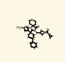 Cn1cc(C2(C3=NC4(CCOCC4)C(=O)N3CC3CN(C(=O)C4CC4)C3)C=CC(c3ccccc3)=CC2)cn1